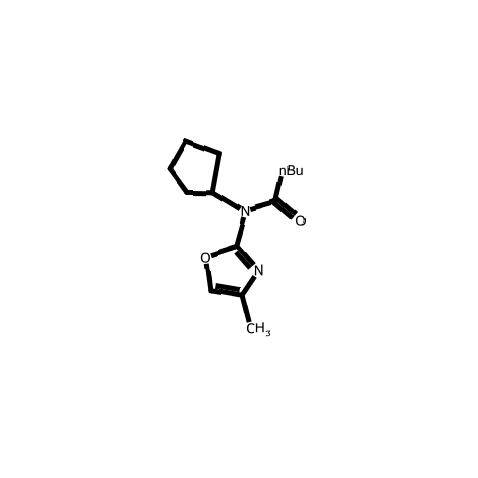 CCCCC(=O)N(c1nc(C)co1)C1CCCC1